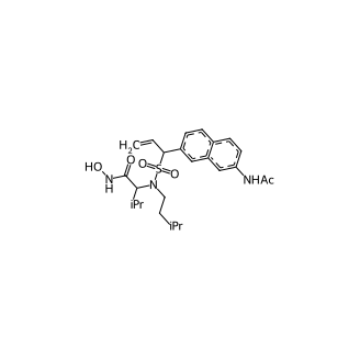 C=CC(c1ccc2ccc(NC(C)=O)cc2c1)S(=O)(=O)N(CCC(C)C)C(C(=O)NO)C(C)C